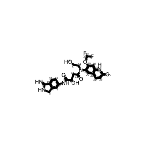 N=C1NCc2cc(NC(=O)[C@H](O)CC(=O)N(CCO)c3cc4ccc(=O)[nH]c4cc3OC(F)F)ccc21